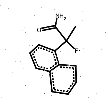 CC(F)(C(N)=O)c1cccc2ccccc12